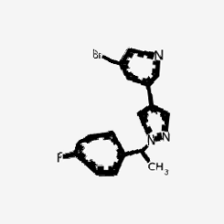 CC(c1ccc(F)cc1)n1cc(-c2cncc(Br)c2)cn1